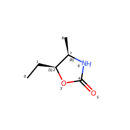 CC[C@@H]1OC(=O)N[C@@H]1C